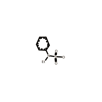 CCN(c1ccccc1)S([O])(=O)=O